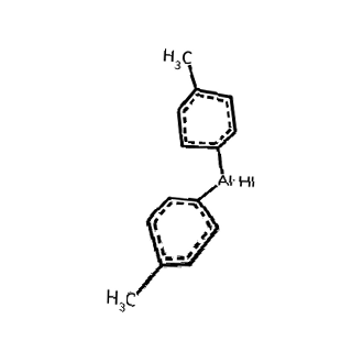 Cc1cc[c]([Al][c]2ccc(C)cc2)cc1.I